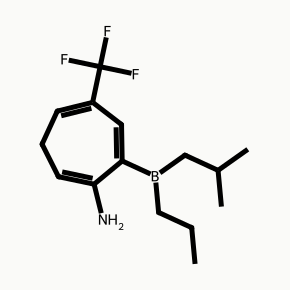 CCCB(CC(C)C)C1=CC(C(F)(F)F)=CCC=C1N